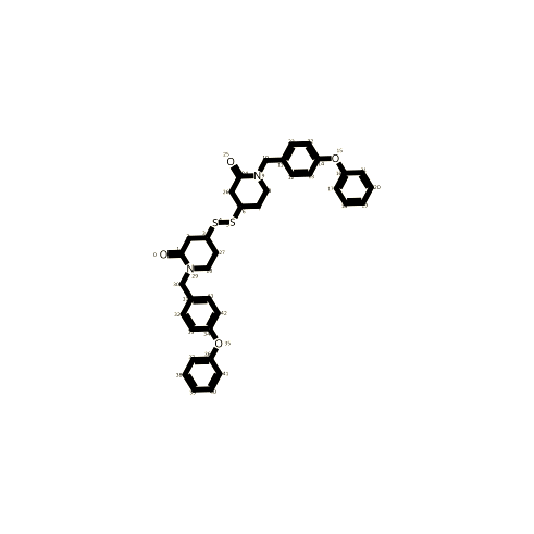 O=C1CC(SSC2CCN(Cc3ccc(Oc4ccccc4)cc3)C(=O)C2)CCN1Cc1ccc(Oc2ccccc2)cc1